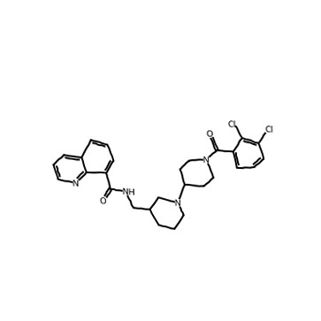 O=C(NCC1CCCN(C2CCN(C(=O)c3cccc(Cl)c3Cl)CC2)C1)c1cccc2cccnc12